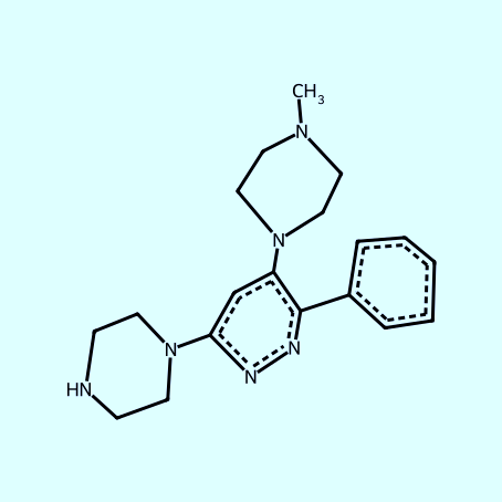 CN1CCN(c2cc(N3CCNCC3)nnc2-c2ccccc2)CC1